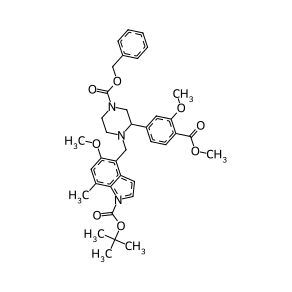 COC(=O)c1ccc(C2CN(C(=O)OCc3ccccc3)CCN2Cc2c(OC)cc(C)c3c2ccn3C(=O)OC(C)(C)C)cc1OC